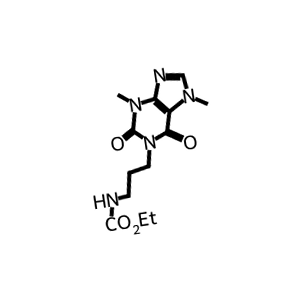 CCOC(=O)NCCCn1c(=O)c2c(ncn2C)n(C)c1=O